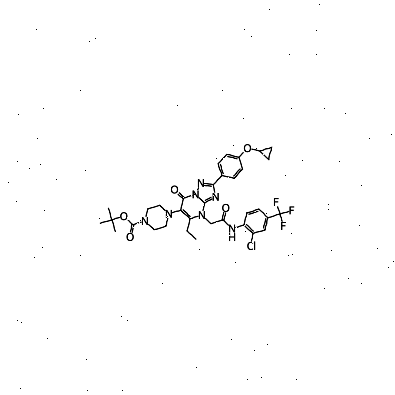 CCc1c(N2CCN(C(=O)OC(C)(C)C)CC2)c(=O)n2nc(-c3ccc(OC4CC4)cc3)nc2n1CC(=O)Nc1ccc(C(F)(F)F)cc1Cl